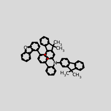 CC1(C)c2ccccc2-c2ccc(N(c3ccc4c(c3)C(C)(C)c3ccccc3-4)c3ccccc3-c3ccc(-c4cccc5oc6ccccc6c45)cc3)cc21